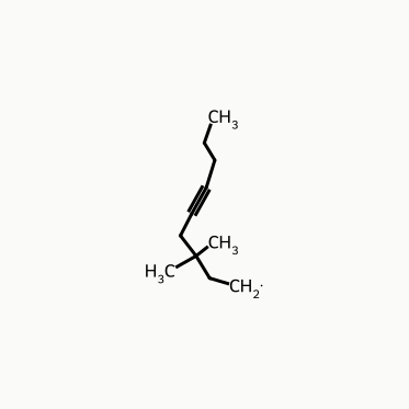 [CH2]CC(C)(C)CC#CCCC